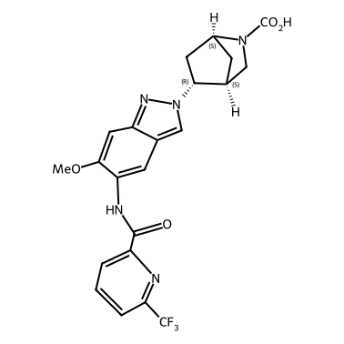 COc1cc2nn([C@@H]3C[C@@H]4C[C@H]3CN4C(=O)O)cc2cc1NC(=O)c1cccc(C(F)(F)F)n1